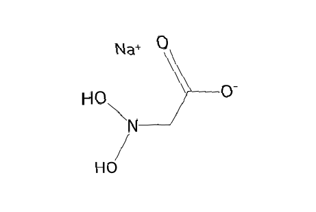 O=C([O-])CN(O)O.[Na+]